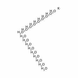 O.O.O.O.O.O.O.O.O.O.O.O.O.O.O.O.O.O.[K]